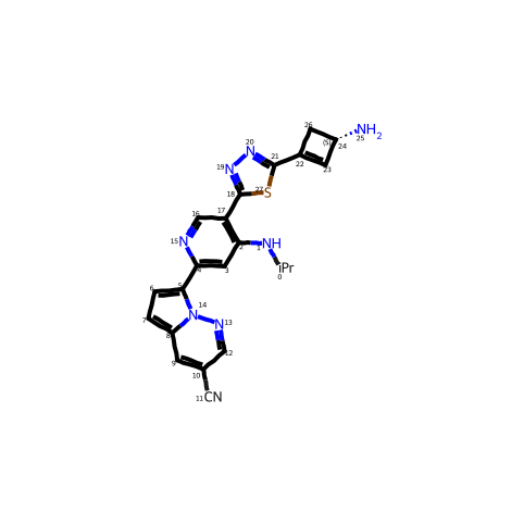 CC(C)Nc1cc(-c2ccc3cc(C#N)cnn23)ncc1-c1nnc(C2=C[C@@H](N)C2)s1